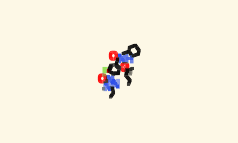 CCC[C@H](C)Oc1cc(-n2nc(CC)n(C)c2=O)c(F)cc1C(=O)NCC1CCCCC1